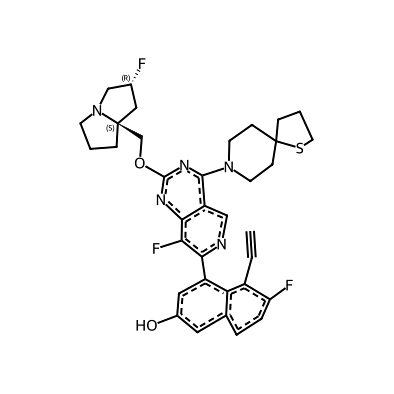 C#Cc1c(F)ccc2cc(O)cc(-c3ncc4c(N5CCC6(CCCS6)CC5)nc(OC[C@@]56CCCN5C[C@H](F)C6)nc4c3F)c12